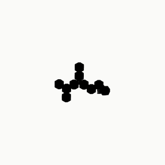 c1ccc(-c2ccc(N(c3ccc(-c4cc(-c5ccccc5)cc(-c5ccccc5)c4)cc3)c3ccc(-c4cccc(-c5cccc6c5sc5ccccc56)c4)cc3)cc2)cc1